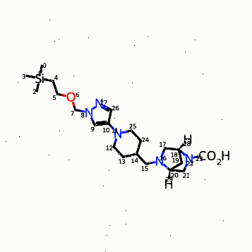 C[Si](C)(C)CCOCn1cc(N2CCC(CN3C[C@H]4C[C@@H]3CN4C(=O)O)CC2)cn1